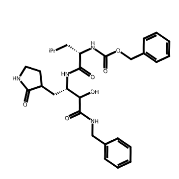 CC(C)C[C@H](NC(=O)OCc1ccccc1)C(=O)N[C@@H](CC1CCNC1=O)C(O)C(=O)NCc1ccccc1